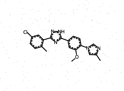 COc1cc(-c2nc(-c3cc(Cl)ccc3C)n[nH]2)ccc1-n1cnc(C)c1